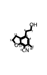 N#Cc1c(F)cc(CCO)c2c1OCC2